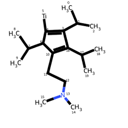 CC(C)C1=[C]([Ti])C(C(C)C)C(CCN(C)C)=C1C(C)C